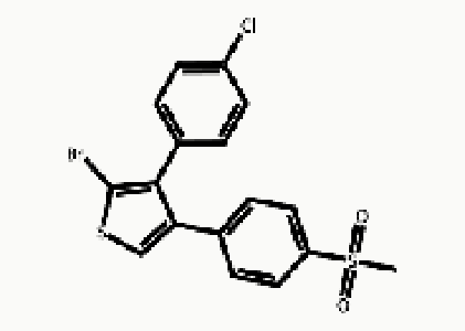 CS(=O)(=O)c1ccc(-c2csc(Br)c2-c2ccc(Cl)cc2)cc1